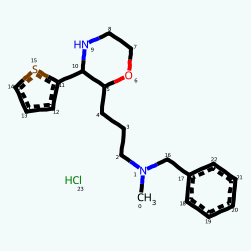 CN(CCCC1OCCNC1c1cccs1)Cc1ccccc1.Cl